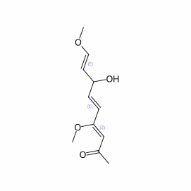 CO/C=C/C(O)/C=C/C(=C/C(C)=O)OC